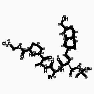 CC(NC(=O)C(NC(=O)[C@H](/C=C/c1ccc2ccc(CO)nc2c1)C(C)O[Si](C)(C)C(C)(C)C)C(C)C)C(=O)N1CCCC(C(=O)OCC(Cl)(Cl)Cl)N1